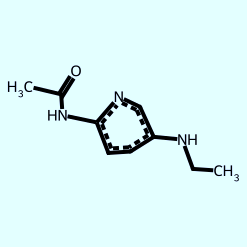 CCNc1ccc(NC(C)=O)nc1